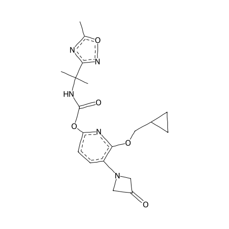 Cc1nc(C(C)(C)NC(=O)Oc2ccc(N3CC(=O)C3)c(OCC3CC3)n2)no1